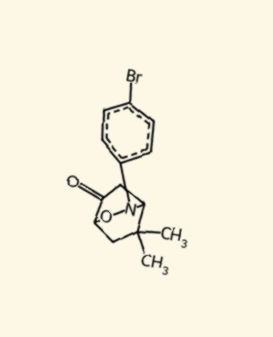 CC1(C)CC2ON(c3ccc(Br)cc3)C1CC2=O